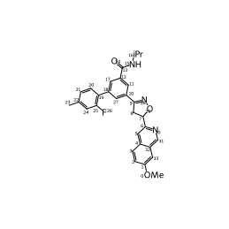 COc1ccc2cc(C3CC(c4cc(C(=O)NC(C)C)cc(-c5ccc(C)cc5F)c4)=NO3)ncc2c1